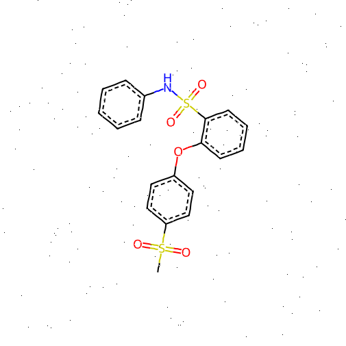 CS(=O)(=O)c1ccc(Oc2ccccc2S(=O)(=O)Nc2ccccc2)cc1